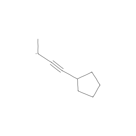 C[CH]C#CC1CCCC1